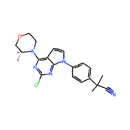 C[C@@H]1COCCN1c1nc(Cl)nc2c1ccn2-c1ccc(C(C)(C)C#N)cc1